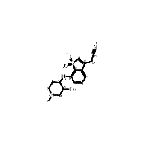 CN1CCC(Nc2cccc3c2S(=O)(=O)C=C3CC#N)C(F)C1